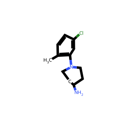 Cc1ccc(Cl)cc1N1CCC(N)CC1